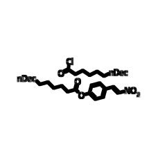 CCCCCCCCCCCCCCCC(=O)Cl.CCCCCCCCCCCCCCCC(=O)Oc1ccc(C=C[N+](=O)[O-])cc1